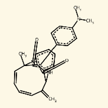 C=C1/C=C\C=C/C2(C)NC(=O)N(c3ccc(N(C)C)cc3)C(=O)NC1c1ccccc12